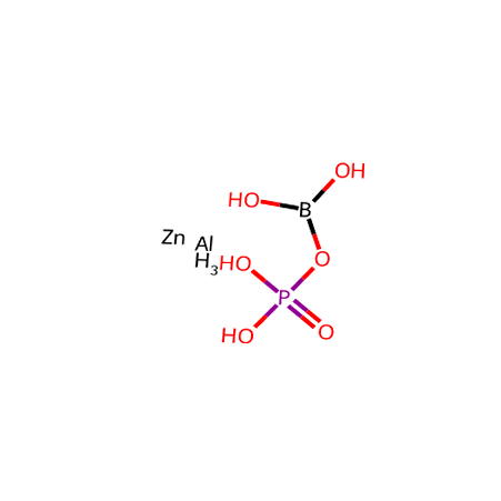 O=P(O)(O)OB(O)O.[AlH3].[Zn]